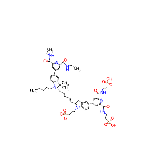 CCCCCN1/C(=C/C=C/C=C/C2=[N+](CCCS(=O)(=O)[O-])c3ccc(-c4cc(C(=O)NCCS(=O)(=O)O)nc(C(=O)NCCS(=O)(=O)O)c4)cc3C2)C(C)(C)c2cc(-c3cc(C(=O)NCC)nc(C(=O)NCC)c3)ccc21